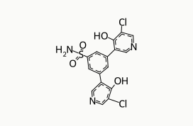 NS(=O)(=O)c1cc(-c2cncc(Cl)c2O)cc(-c2cncc(Cl)c2O)c1